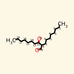 CCCCCCCCC([C]=O)C(=O)CCCCCCC